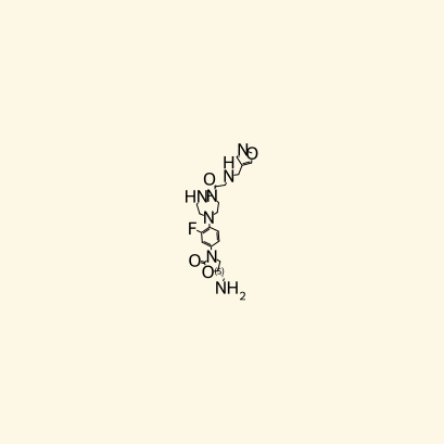 NC[C@H]1CN(c2ccc(N3CCNN(C(=O)CNCc4cnoc4)CC3)c(F)c2)C(=O)O1